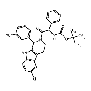 CC(C)(C)OC(=O)N[C@@H](C(=O)N1CCc2c([nH]c3ccc(Cl)cc23)C1c1cccc(O)c1)c1ccccc1